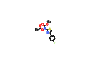 CCC(=O)ON(C(=O)OC(C)(C)C)c1nc(-c2ccc(F)cc2)cs1